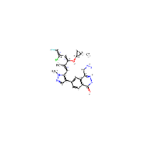 Cn1ncc(-c2ccc3c(=O)[nH]nc(CN)c3c2)c1/C=C(C#N)/C(=C\C(Cl)=C\F)O[C@H]1C[C@@H]1C(F)(F)F